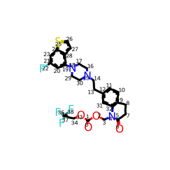 O=C(OCN1C(=O)CCc2ccc(CCN3CCN(c4cc(F)cc5sccc45)CC3)cc21)OCC(F)(F)F